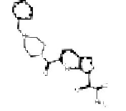 NC(=O)C(=O)c1scc2ccc(C(=O)N3CCN(Cc4ccccc4)CC3)nc12